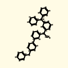 CN(c1cccc(-c2ccc(Cc3ccccc3)cc2)c1)c1cccc(N(c2ccccc2)c2ccccc2)c1